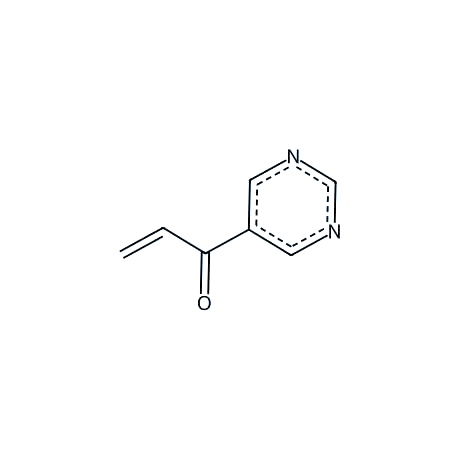 C=CC(=O)c1cncnc1